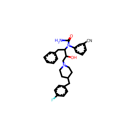 N#Cc1cccc(N(C(N)=O)C(Cc2ccccc2)C(O)CN2CCC(Cc3ccc(F)cc3)CC2)c1